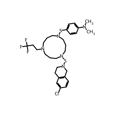 CN(C)c1ccc(SN2CCCN(CCC(F)(F)F)CCCN(SN3CCc4cc(Cl)ccc4C3)CCC2)cc1